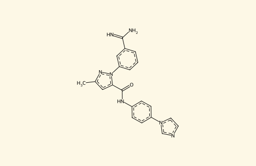 Cc1cc(C(=O)Nc2ccc(-n3ccnc3)cc2)n(-c2cccc(C(=N)N)c2)n1